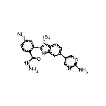 CC(C)(C)n1c(-c2cc(C#N)ccc2C(=O)NN)nc2cc(-c3cnc(N)nc3)ccc21